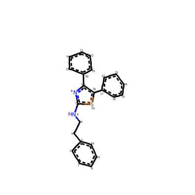 c1ccc(CCNc2nc(-c3ccccc3)c(-c3ccccc3)s2)cc1